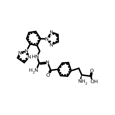 N/C(=N\C(=O)c1ccc(C[C@H](N)C(=O)O)cc1)NCc1c(-n2nccn2)cccc1-n1nccn1